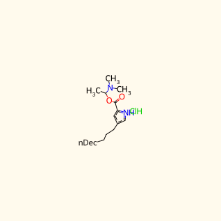 CCCCCCCCCCCCCc1c[nH]c(C(=O)OC(C)N(C)C)c1.Cl